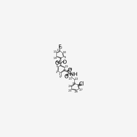 Cc1ccc(S(=O)(=O)c2ccc(F)cc2)cc1S(=O)(=O)NCCc1ccccc1Cl